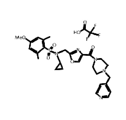 COc1cc(C)c(S(=O)(=O)N(Cc2nc(C(=O)N3CCN(Cc4ccncc4)CC3)co2)C2CC2)c(C)c1.O=C(O)C(F)(F)F